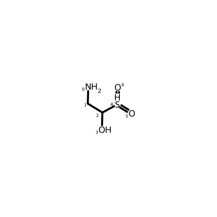 NCC(O)[SH](=O)=O